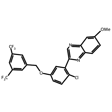 COc1ccc2nc(-c3cc(OCc4cc(C(F)(F)F)cc(C(F)(F)F)c4)ccc3Cl)cnc2c1